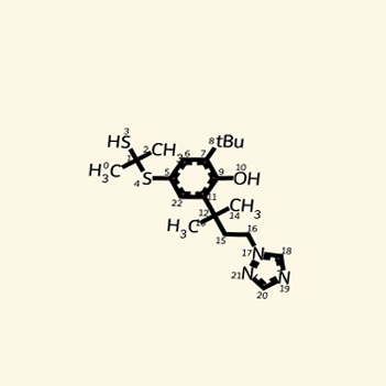 CC(C)(S)Sc1cc(C(C)(C)C)c(O)c(C(C)(C)CCn2cncn2)c1